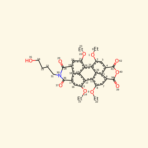 CCOc1cc2c3c(cc(OCC)c4c5c(OCC)cc6c7c(cc(OCC)c(c1c34)c75)C(=O)N(CCCCO)C6=O)C(=O)OC2=O